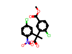 COC(=O)c1ccc(Cl)c(C(C)(C(=O)O)c2cc(Cl)ccc2[N+](=O)[O-])c1